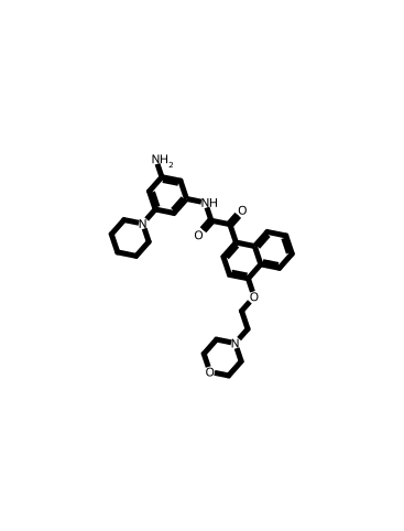 Nc1cc(NC(=O)C(=O)c2ccc(OCCN3CCOCC3)c3ccccc23)cc(N2CCCCC2)c1